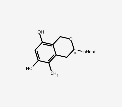 CCCCCCC[C@@H]1Cc2c(C)c(O)cc(O)c2CO1